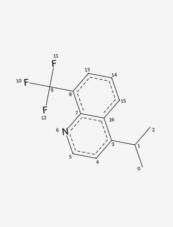 CC(C)c1ccnc2c(C(F)(F)F)cccc12